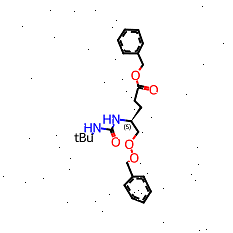 CC(C)(C)NC(=O)N[C@@H](CCC(=O)OCc1ccccc1)COOCc1ccccc1